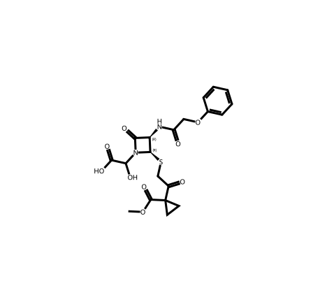 COC(=O)C1(C(=O)CS[C@@H]2[C@H](NC(=O)COc3ccccc3)C(=O)N2C(O)C(=O)O)CC1